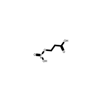 O=C(O)CCO[PH](=O)O